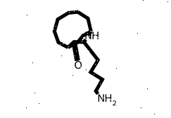 NCCCCC1NC2CCCCCCC(CC2)C1=O